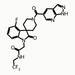 O=C(CN1C(=O)C2(CCN(C(=O)c3cnc4[nH]ncc4c3)CC2)c2c(F)cccc21)NCC(F)(F)F